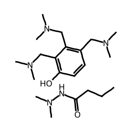 CCCC(=O)NN(C)C.CN(C)Cc1ccc(O)c(CN(C)C)c1CN(C)C